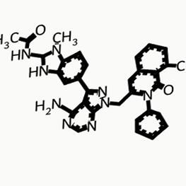 CC(=O)NC1Nc2cc(-c3nn(Cc4cc5cccc(C)c5c(=O)n4-c4ccccc4)c4ncnc(N)c34)ccc2N1C